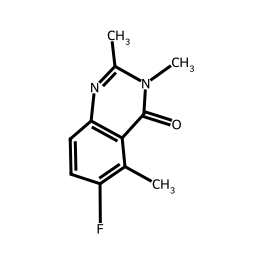 Cc1c(F)ccc2nc(C)n(C)c(=O)c12